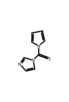 S=C(n1cccc1)n1ccnc1